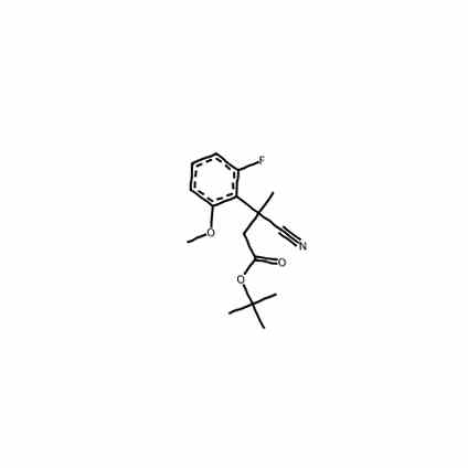 COc1cccc(F)c1C(C)(C#N)CC(=O)OC(C)(C)C